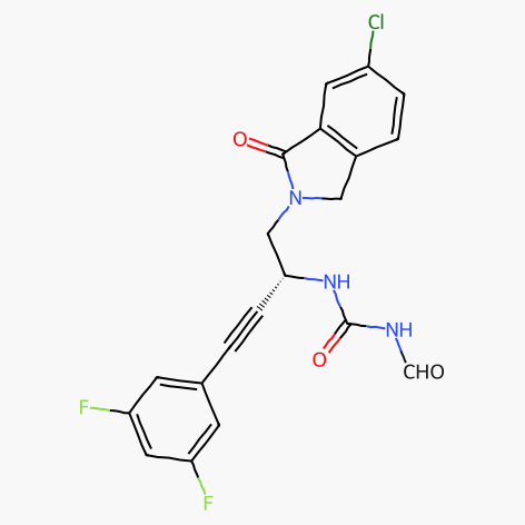 O=CNC(=O)N[C@H](C#Cc1cc(F)cc(F)c1)CN1Cc2ccc(Cl)cc2C1=O